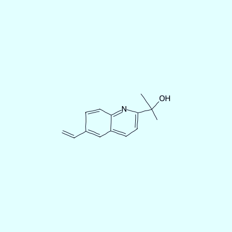 C=Cc1ccc2nc(C(C)(C)O)ccc2c1